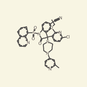 CCOc1nc(Cl)ccc1C1(N2CCN(c3ccnc(C)c3)CC2)C(=O)N(S(=O)(=O)c2cccc3cccnc23)c2ccc(C#N)cc21